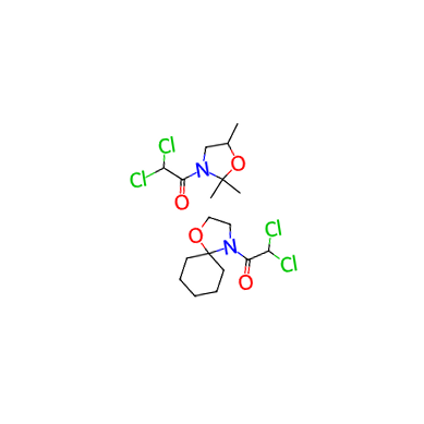 CC1CN(C(=O)C(Cl)Cl)C(C)(C)O1.O=C(C(Cl)Cl)N1CCOC12CCCCC2